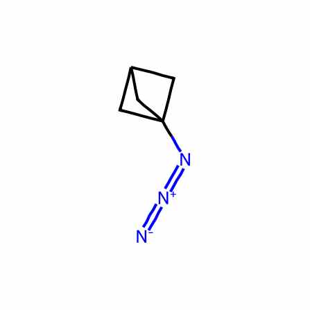 [N-]=[N+]=NC12CC(C1)C2